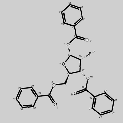 O=C(OC[C@H]1O[C@H](OC(=O)c2ccccc2)[C@H](F)[C@@H]1OC(=O)c1ccccc1)c1ccccc1